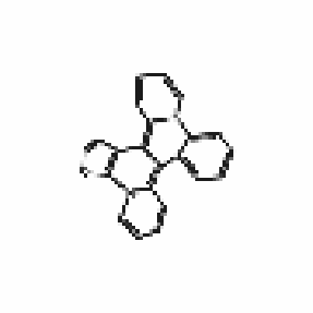 C1=CB2C(=C3C(=C4C=CC=CN4c4sccc43)c3ccccc32)C=C1